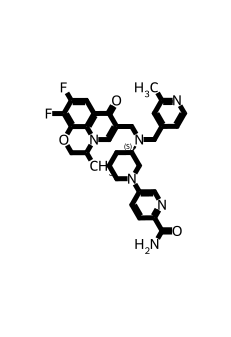 Cc1cc(CN(Cc2cn3c4c(c(F)c(F)cc4c2=O)OCC3C)[C@H]2CCCN(c3ccc(C(N)=O)nc3)C2)ccn1